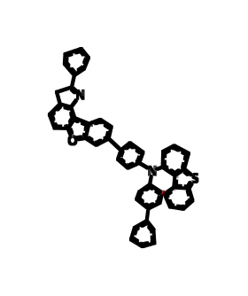 c1ccc(C2=Nc3c(ccc4oc5cc(-c6ccc(N(c7ccc(-c8ccccc8)cc7)c7cccc8sc9ccccc9c78)cc6)ccc5c34)C2)cc1